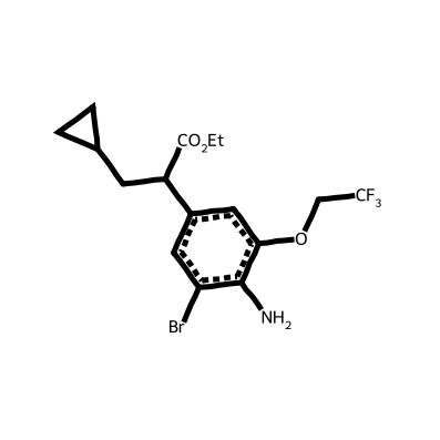 CCOC(=O)C(CC1CC1)c1cc(Br)c(N)c(OCC(F)(F)F)c1